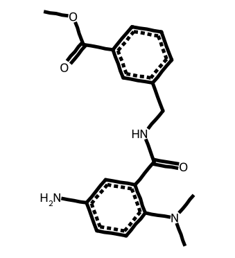 COC(=O)c1cccc(CNC(=O)c2cc(N)ccc2N(C)C)c1